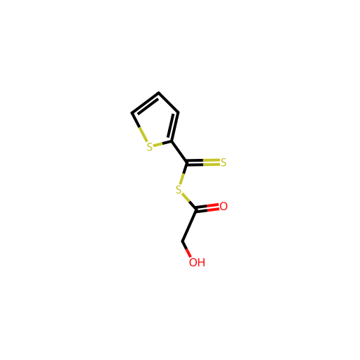 O=C(CO)SC(=S)c1cccs1